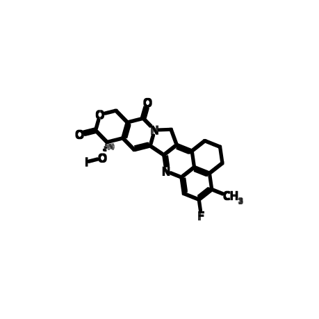 Cc1c(F)cc2nc3c(c4c2c1CCC4)Cn1c-3cc2c(c1=O)COC(=O)[C@H]2OI